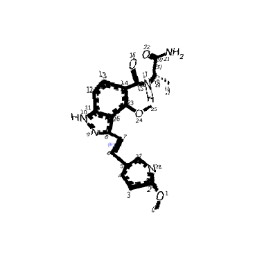 COc1ccc(/C=C/c2n[nH]c3ccc(C(=O)N[C@@H](C)C(N)=O)c(OC)c23)cn1